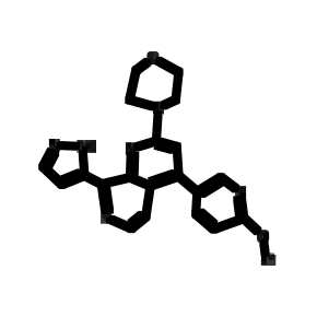 CCOc1ccc(-c2cc(N3CCOCC3)nc3c(-c4ccn[nH]4)nccc23)cn1